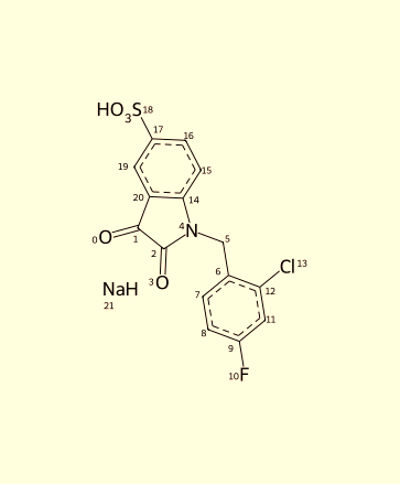 O=C1C(=O)N(Cc2ccc(F)cc2Cl)c2ccc(S(=O)(=O)O)cc21.[NaH]